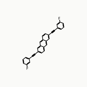 Fc1cccc(C#Cc2ccc3cc4cc(C#Cc5cccc(F)c5)ccc4cc3c2)c1